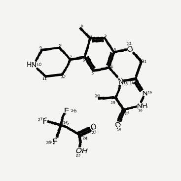 Cc1cc2c(cc1C1CCNCC1)N1C(=NNC(=O)C1C)CO2.O=C(O)C(F)(F)F